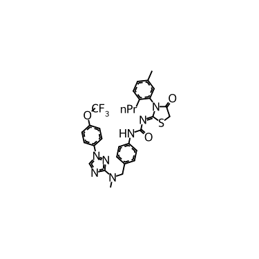 CCCc1ccc(C)cc1N1C(=O)CSC1=NC(=O)Nc1ccc(CN(C)c2ncn(-c3ccc(OC(F)(F)F)cc3)n2)cc1